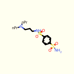 CCCN(CCC)CCCNS(=O)(=O)c1ccc(S(N)(=O)=O)cc1